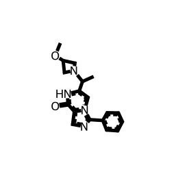 COC1CN(C(C)c2cn3c(-c4ccccc4)ncc3c(=O)[nH]2)C1